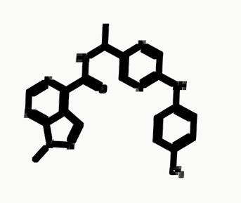 CC(NC(=O)c1ncnc2c1cnn2C)c1cnc(Nc2ccc(C(F)(F)F)cc2)cn1